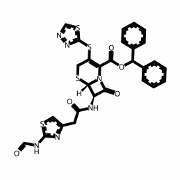 O=CNc1nc(CC(=O)N[C@@H]2C(=O)N3C(C(=O)OC(c4ccccc4)c4ccccc4)=C(Sc4nncs4)CS[C@@H]23)cs1